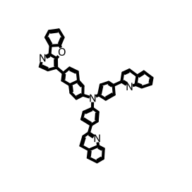 c1ccc2nc(-c3ccc(N(c4ccc(-c5ccc6ccccc6n5)cc4)c4ccc5cc(-c6ccnc7c6oc6ccccc67)ccc5c4)cc3)ccc2c1